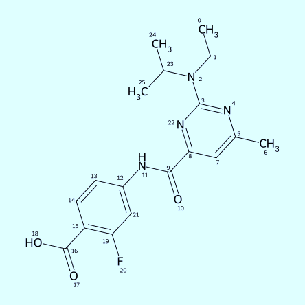 CCN(c1nc(C)cc(C(=O)Nc2ccc(C(=O)O)c(F)c2)n1)C(C)C